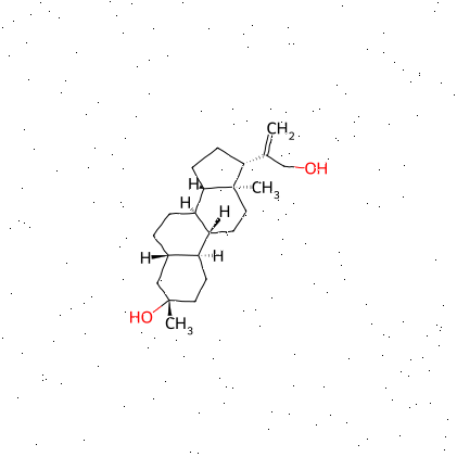 C=C(CO)[C@H]1CC[C@H]2[C@@H]3CC[C@H]4C[C@@](C)(O)CC[C@@H]4[C@H]3CC[C@]12C